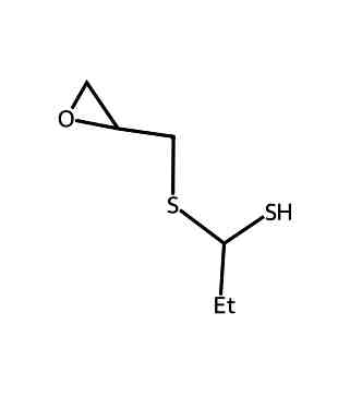 CCC(S)SCC1CO1